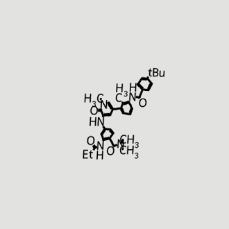 CCC(=O)Nc1cc(Nc2cc(-c3cccc(NC(=O)c4ccc(C(C)(C)C)cc4)c3C)cn(C)c2=O)ccc1C(=O)N(C)C